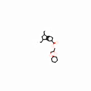 CCC1CC(CC)C2C3CC(CC3C(=O)OCC3COC4(CCCCC4)O3)C12